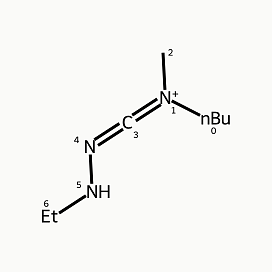 CCCC[N+](C)=C=NNCC